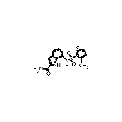 Cc1ccsc1S(=O)(=O)Nc1cccc2cc(C(N)=O)[nH]c12